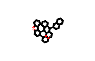 c1ccc(-c2ccc3oc4ccccc4c3c2-c2c3ccccc3c(-c3ccc4ccccc4c3)c3ccccc23)cc1